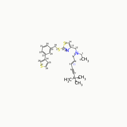 CCN(C/C=C/C#CC(C)(C)C)Cc1csc(SCc2cccc(-c3ccsc3)c2)n1